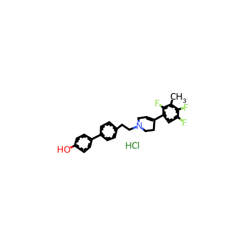 Cc1c(F)c(F)cc(C2=CCN(CCc3ccc(-c4ccc(O)cc4)cc3)CC2)c1F.Cl